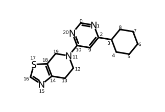 c1nc(C2CCCCC2)cc(N2CCc3ncsc3C2)n1